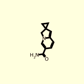 NC(=O)C1=CN2CC3(C=C2C=C1)CC3